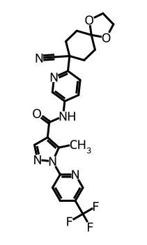 Cc1c(C(=O)Nc2ccc(C3(C#N)CCC4(CC3)OCCO4)nc2)cnn1-c1ccc(C(F)(F)F)cn1